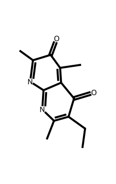 CCC1=C(C)N=C2N=C(C)C(=O)C(C)=C2C1=O